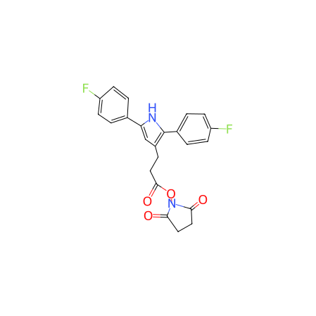 O=C(CCc1cc(-c2ccc(F)cc2)[nH]c1-c1ccc(F)cc1)ON1C(=O)CCC1=O